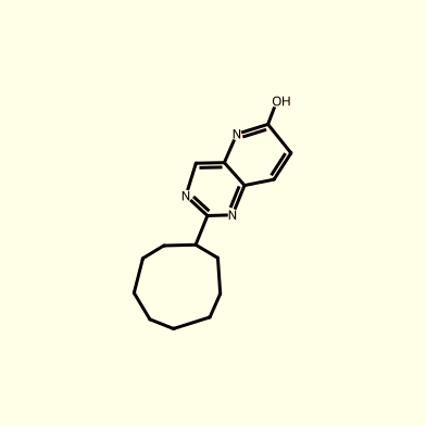 Oc1ccc2nc(C3CCCCCCCC3)ncc2n1